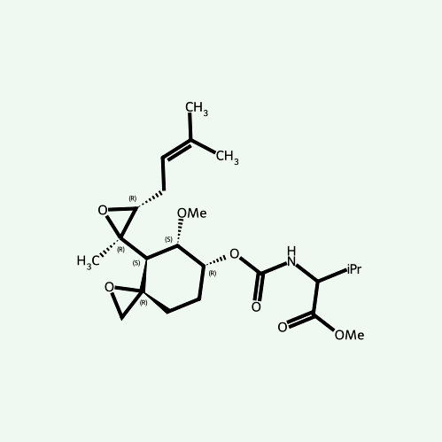 COC(=O)C(NC(=O)O[C@@H]1CC[C@]2(CO2)[C@@H]([C@@]2(C)O[C@@H]2CC=C(C)C)[C@@H]1OC)C(C)C